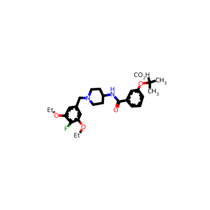 CCOc1cc(CN2CCC(NC(=O)c3cccc(OC(C)(C)C(=O)O)c3)CC2)cc(OCC)c1F